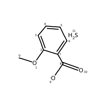 COc1ccccc1C([O])=O.S